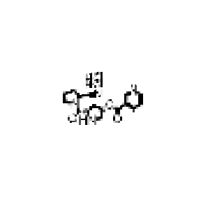 Cl.Cl.N#CC1CCCN1C(=O)[C@@H]1C[C@H](OC(=O)c2cccnc2)CN1